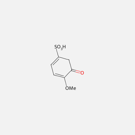 COC1=CC=C(S(=O)(=O)O)CC1=O